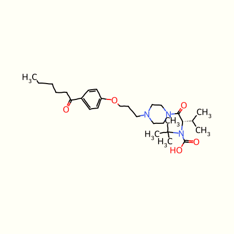 CCCCCC(=O)c1ccc(OCCCN2CCN(C(=O)[C@H](C(C)C)N(C(=O)O)C(C)(C)C)CC2)cc1